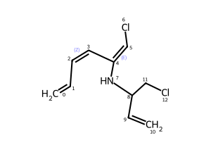 C=C/C=C\C(=C/Cl)NC(C=C)CCl